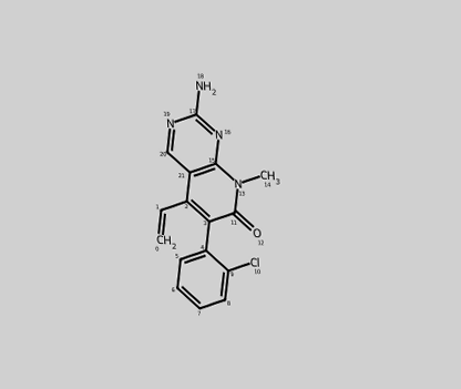 C=Cc1c(-c2ccccc2Cl)c(=O)n(C)c2nc(N)ncc12